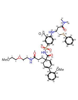 COCCOCCNC(=O)CCC1(C(=O)NS(=O)(=O)c2ccc(N[C@@H](CSc3ccccc3)CC(=O)N(C)C)c([N+](=O)[O-])c2)C=CC(c2ccccc2OC)=CC1